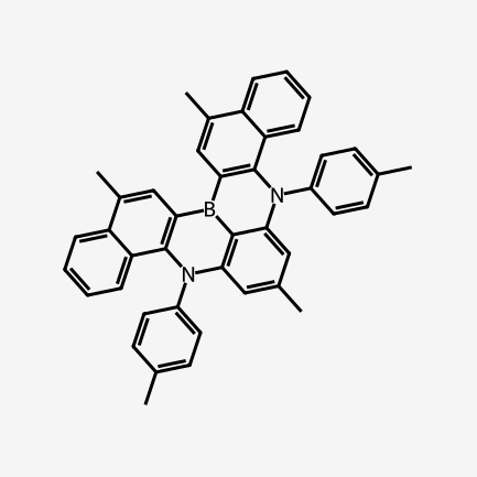 Cc1ccc(N2c3cc(C)cc4c3B(c3cc(C)c5ccccc5c32)c2cc(C)c3ccccc3c2N4c2ccc(C)cc2)cc1